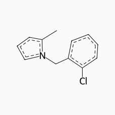 Cc1cccn1Cc1ccccc1Cl